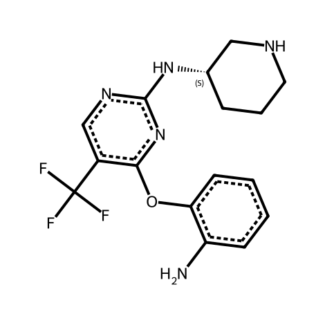 Nc1ccccc1Oc1nc(N[C@H]2CCCNC2)ncc1C(F)(F)F